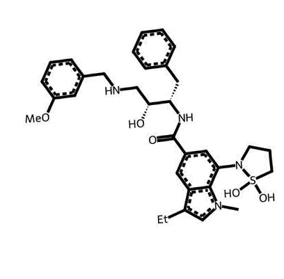 CCc1cn(C)c2c(N3CCCS3(O)O)cc(C(=O)N[C@@H](Cc3ccccc3)[C@H](O)CNCc3cccc(OC)c3)cc12